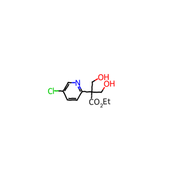 CCOC(=O)C(CO)(CO)c1ccc(Cl)cn1